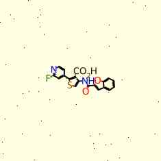 O=C(Nc1csc(-c2ccnc(F)c2)c1C(=O)O)c1cc2ccccc2o1